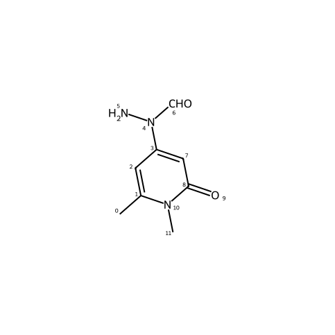 Cc1cc(N(N)C=O)cc(=O)n1C